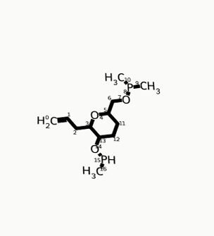 C=CCC1OC(COP(C)C)CCC1OPC